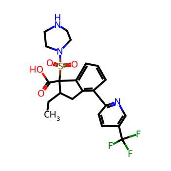 CCC1Cc2c(-c3ccc(C(F)(F)F)cn3)cccc2C1(C(=O)O)S(=O)(=O)N1CCNCC1